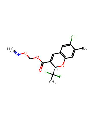 C=NOCOC(=O)C1=Cc2cc(Cl)c(C(C)(C)C)cc2O[C@@H]1C(C)(F)F